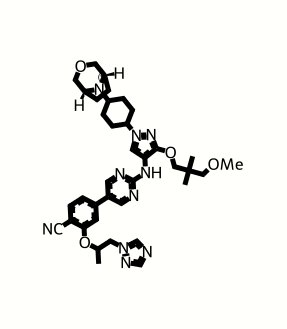 COCC(C)(C)COc1nn(C2CCC(N3[C@@H]4CC[C@H]3COC4)CC2)cc1Nc1ncc(-c2ccc(C#N)c(OC(C)Cn3cncn3)c2)cn1